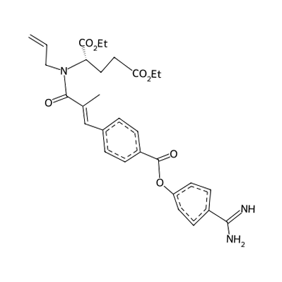 C=CCN(C(=O)/C(C)=C/c1ccc(C(=O)Oc2ccc(C(=N)N)cc2)cc1)[C@@H](CCC(=O)OCC)C(=O)OCC